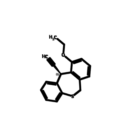 C#C[C@@H]1c2ccccc2SCc2cccc(OCC)c21